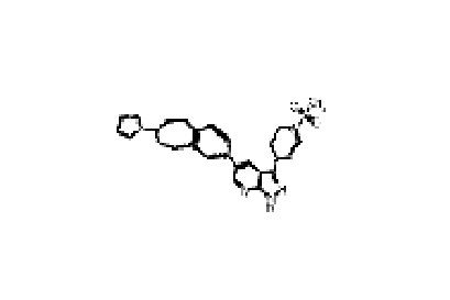 CS(=O)(=O)N1CCC(c2n[nH]c3ncc(-c4ccc5c(c4)CCC(N4CCCC4)CC5)cc23)CC1